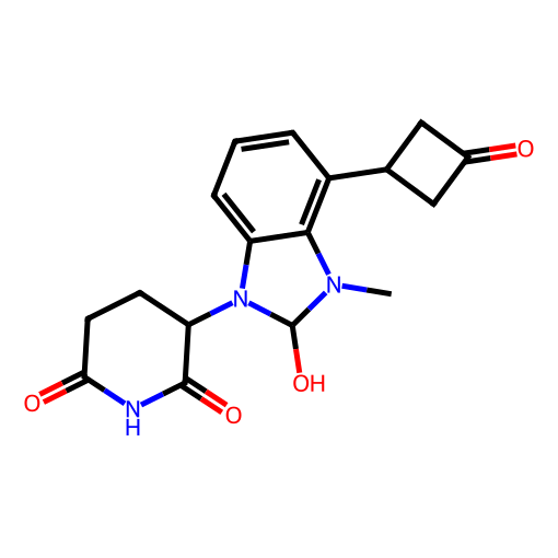 CN1c2c(C3CC(=O)C3)cccc2N(C2CCC(=O)NC2=O)C1O